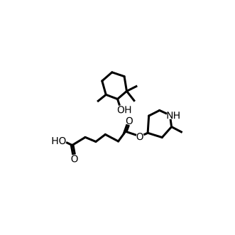 CC1CC(OC(=O)CCCCC(=O)O)CCN1.CC1CCCC(C)(C)C1O